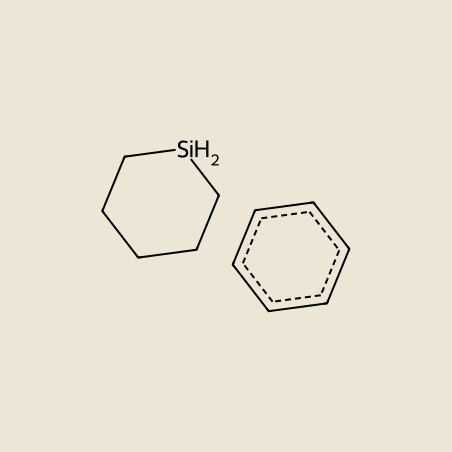 C1CC[SiH2]CC1.c1ccccc1